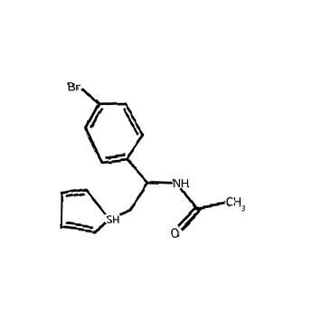 CC(=O)NC(C[SH]1C=CC=C1)c1ccc(Br)cc1